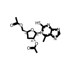 CC(=O)OC[C@@H]1C[C@@H](OC(C)=O)[C@H](n2c(S)nc3ncnc-3c2C)O1